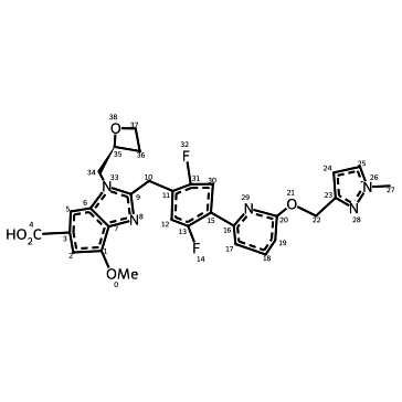 COc1cc(C(=O)O)cc2c1nc(Cc1cc(F)c(-c3cccc(OCc4ccn(C)n4)n3)cc1F)n2C[C@@H]1CCO1